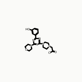 O=C(Cl)CN1CCN(c2nc(-c3cccc(O)c3)nc(N3CCOCC3)n2)CC1